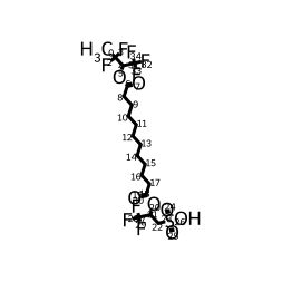 CC(F)(F)C(OC(=O)CCCCCCCCCCC(=O)OC(CS(=O)(=O)O)C(F)(F)F)C(F)(F)F